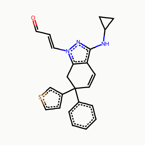 O=CC=Cn1nc(NC2CC2)c2c1CC(c1ccccc1)(c1ccsc1)C=C2